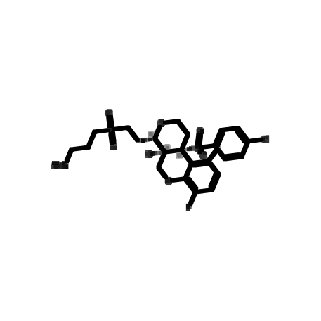 CNCCCS(=O)(=O)CC[C@@H]1OCC[C@@]2(S(=O)(=O)c3ccc(Cl)cc3)c3c(F)ccc(F)c3OC[C@@H]12